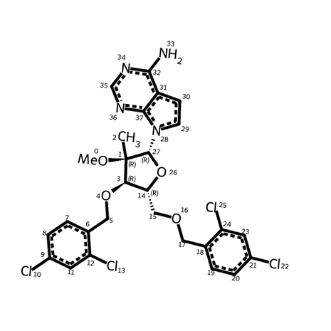 CO[C@]1(C)[C@H](OCc2ccc(Cl)cc2Cl)[C@@H](COCc2ccc(Cl)cc2Cl)O[C@H]1n1ccc2c(N)ncnc21